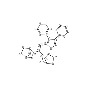 C1=C(c2ccccc2)C(c2ccccc2)=[C]([Zr][CH](C2CC3CCC2C3)C2CC3CCC2C3)C1